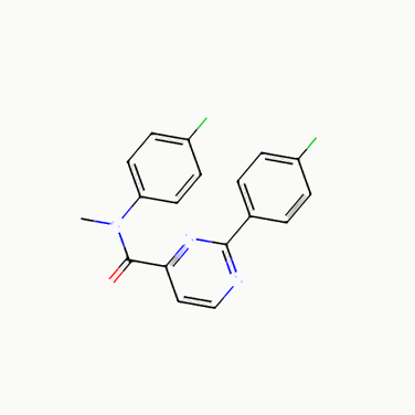 CN(C(=O)c1ccnc(-c2ccc(Cl)cc2)n1)c1ccc(Cl)cc1